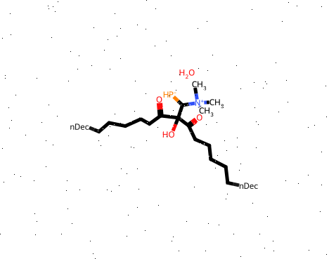 CCCCCCCCCCCCCCCC(=O)C(O)(C(=O)CCCCCCCCCCCCCCC)C([PH-])[N+](C)(C)C.O